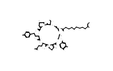 CCC(C)CC(C)CCCCCCCCC(=O)N[C@H]1C[C@@H](O)[C@@H](Sc2ccc(O)c(Br)c2)NC(=O)[C@@H]2[C@@H](O)CCN2C(=O)[C@H]([C@H](O)CC(N)=O)NC(=O)[C@H]([C@H](O)[C@@H](O)c2ccc(O)cc2)NC(=O)[C@@H]2C[C@@H](O)CN2C(=O)[C@H]([C@@H](C)O)NC1=O